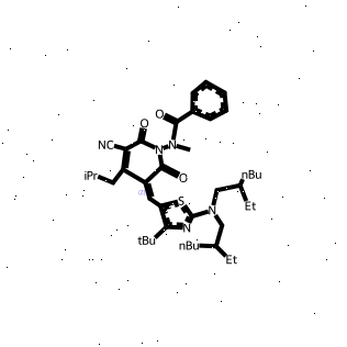 CCCCC(CC)CN(CC(CC)CCCC)c1nc(C(C)(C)C)c(/C=C2\C(=O)N(N(C)C(=O)c3ccccc3)C(=O)C(C#N)=C2CC(C)C)s1